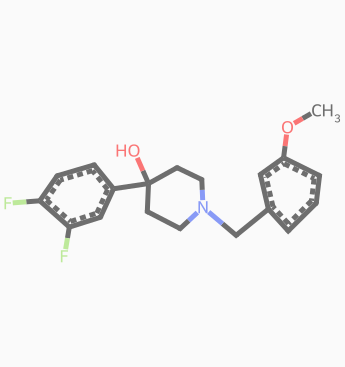 COc1cccc(CN2CCC(O)(c3ccc(F)c(F)c3)CC2)c1